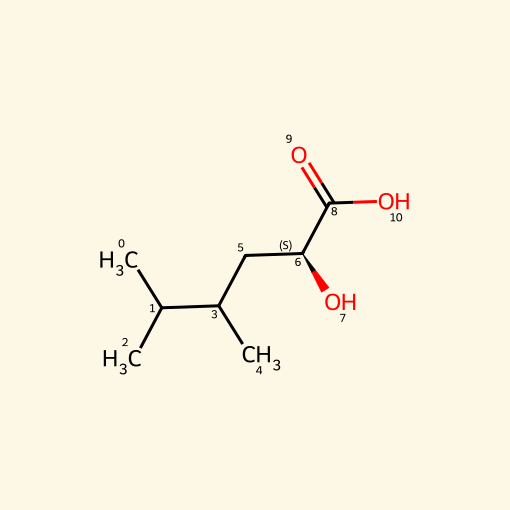 CC(C)C(C)C[C@H](O)C(=O)O